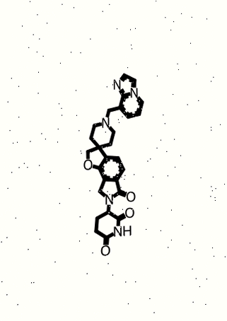 O=C1CCC(N2Cc3c(ccc4c3OCC43CCN(Cc4cccn5ccnc45)CC3)C2=O)C(=O)N1